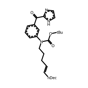 CCCCCCCCCCC=CCCCN(C(=O)OC(C)(C)C)c1cccc(C(=O)c2ncc[nH]2)c1